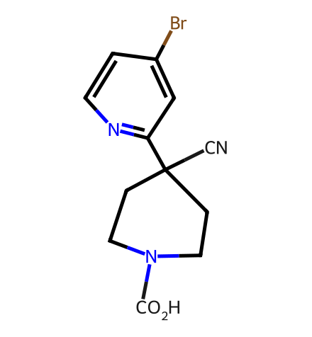 N#CC1(c2cc(Br)ccn2)CCN(C(=O)O)CC1